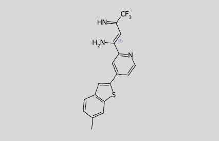 Cc1ccc2cc(-c3ccnc(/C(N)=C/C(=N)C(F)(F)F)c3)sc2c1